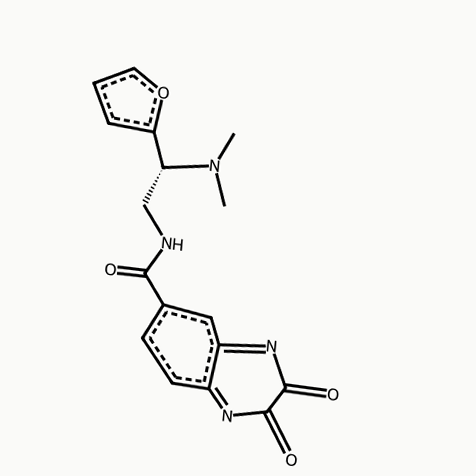 CN(C)[C@H](CNC(=O)c1ccc2c(c1)=NC(=O)C(=O)N=2)c1ccco1